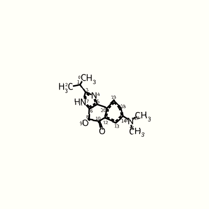 CC(C)c1nc2c([nH]1)C(=O)C(=O)c1cc(N(C)C)ccc1-2